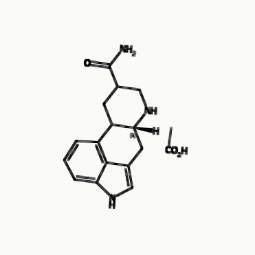 CC(=O)O.NC(=O)C1CN[C@@H]2Cc3c[nH]c4cccc(c34)C2C1